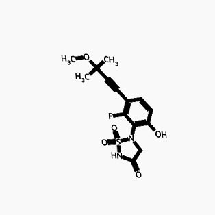 COC(C)(C)C#Cc1ccc(O)c(N2CC(=O)NS2(=O)=O)c1F